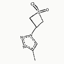 Cc1cn(C2CS(=O)(=O)C2)nn1